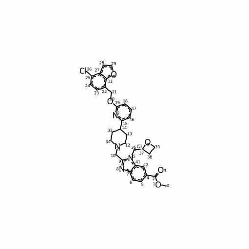 COC(=O)c1ccc2nc(CN3CCC(c4cccc(OCc5ccc(Cl)c6ccoc56)n4)CC3)n(C[C@@H]3CCO3)c2c1